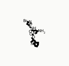 NC1CC(C(=O)NC[C@@H]2CC(Br)=NO2)N(C(=O)OCc2cnc3ccccc3c2)C1